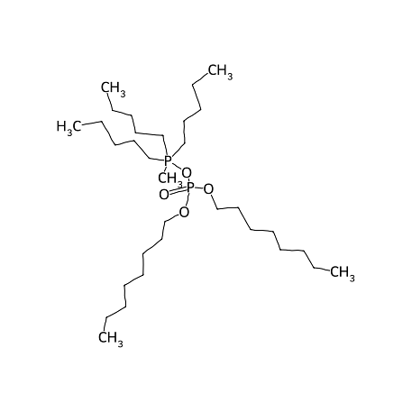 CCCCCCCCOP(=O)(OCCCCCCCC)OP(C)(CCCCC)(CCCCC)CCCCC